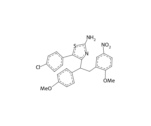 COc1ccc(C(Cc2cc([N+](=O)[O-])ccc2OC)c2nc(N)sc2-c2ccc(Cl)cc2)cc1